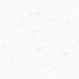 CCOc1ccc(Cl)cc1CN1CCC[C@@H](N)C1.Cl